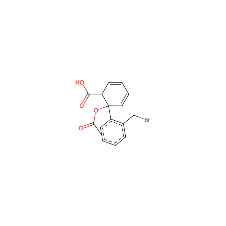 CC(=O)OC1(c2ccccc2CBr)C=CC=CC1C(=O)O